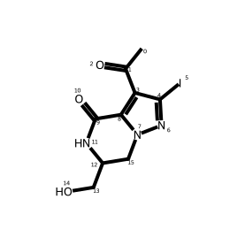 CC(=O)c1c(I)nn2c1C(=O)NC(CO)C2